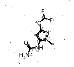 Cn1nc(OC(F)F)cc1NC(N)=O